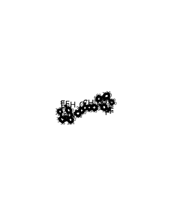 CC1(C)c2cc3cc(N(c4ccc(C(F)(F)F)cc4)c4cccc5c4oc4c(C6CCCC6)cccc45)ccc3cc2-c2cc3ccc(N(c4ccc(C(F)(F)F)cc4)c4cccc5c4oc4c(C6CCCC6)cccc45)cc3cc21